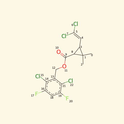 CC1(C)C(C=C(Cl)Cl)C1C(=O)OCc1c(Cl)c(F)cc(F)c1Cl